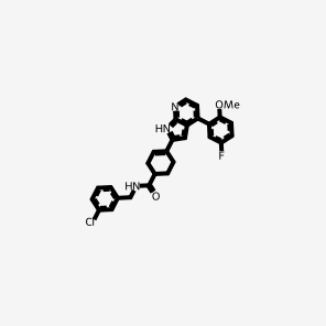 COc1ccc(F)cc1-c1ccnc2[nH]c(C3=CCC(C(=O)NCc4cccc(Cl)c4)CC3)cc12